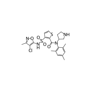 Cc1cc(C)c(N(C(=O)c2sccc2S(=O)(=O)Nc2onc(C)c2Cl)C2CCNC2)c(C)c1